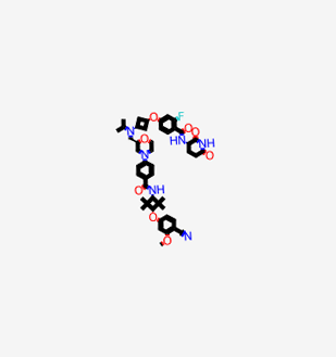 COc1cc(O[C@H]2C(C)(C)[C@H](NC(=O)c3ccc(N4CCO[C@H](CN(C(C)C)[C@H]5C[C@H](Oc6ccc(C(=O)N[C@H]7CCC(=O)NC7=O)c(F)c6)C5)C4)cc3)C2(C)C)ccc1C#N